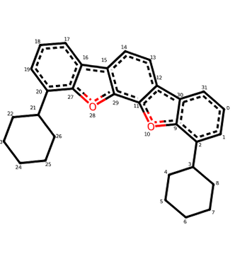 c1cc(C2CCCCC2)c2oc3c(ccc4c5cccc(C6CCCCC6)c5oc43)c2c1